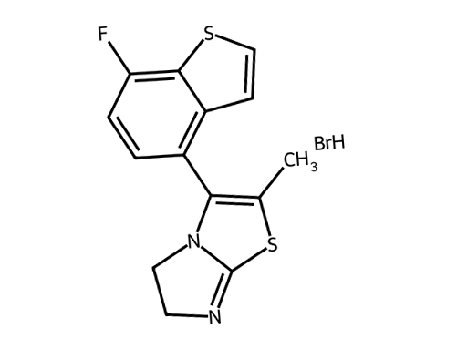 Br.CC1=C(c2ccc(F)c3sccc23)N2CCN=C2S1